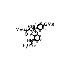 C=C(C(=O)OC)N(Cc1ccccc1NC(=O)C(F)(F)F)S(=O)(=O)c1ccc(OC)cc1